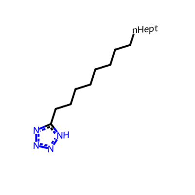 [CH2]CCCCCCCCCCCCCCc1nnn[nH]1